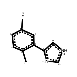 Cc1ccc(F)cc1-c1c[nH]cn1